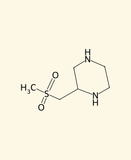 CS(=O)(=O)CC1CNCCN1